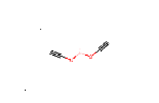 C#COBOC#C